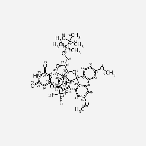 COc1ccc(C(O[C@H]2[C@@H](NC(=O)C(F)(F)F)[C@H](n3ccc(=O)[nH]c3=O)O[C@@H]2CO[Si](C)(C)C(C)(C)C)(c2ccccc2)c2ccc(OC)cc2)cc1